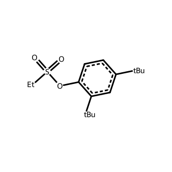 CCS(=O)(=O)Oc1ccc(C(C)(C)C)cc1C(C)(C)C